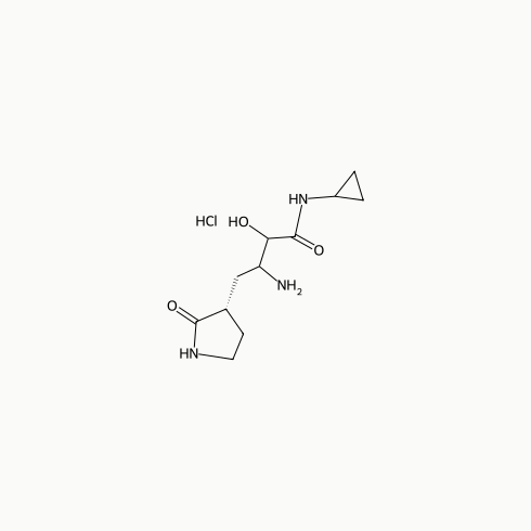 Cl.NC(C[C@@H]1CCNC1=O)C(O)C(=O)NC1CC1